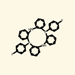 Fc1ccc(P2c3ccccc3Nc3ccccc3P(c3ccc(F)cc3)c3ccccc3Nc3ccccc32)cc1